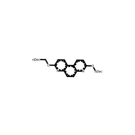 CCCCCCCCCCCOc1ccc2c(ccc3nc(OCCCCCCCCCC)ccc32)n1